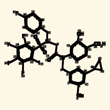 CC(C)(C)c1cc(CN(C(=O)CN(Cc2ccc(F)cc2)S(=O)(=O)c2c(F)c(F)c(F)c(F)c2I)c2ccc(C(=O)O)c(O)c2)cc(C2CC2)c1